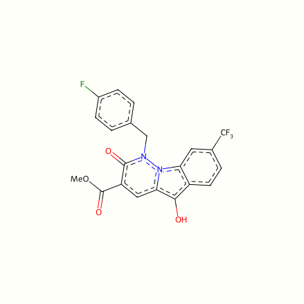 COC(=O)c1cc2c(O)c3ccc(C(F)(F)F)cc3n2n(Cc2ccc(F)cc2)c1=O